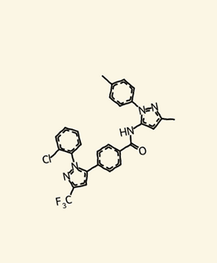 Cc1ccc(-n2nc(C)cc2NC(=O)c2ccc(-c3cc(C(F)(F)F)nn3-c3ccccc3Cl)cc2)cc1